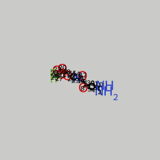 N=C(N)c1ccc(C(=O)CCC(=O)N2CCC(OCC(=O)OC(=O)C(F)(F)F)CC2)cc1